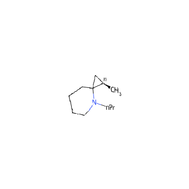 CCCN1CCCCC12C[C@H]2C